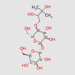 CC(C)(O)C(O)CO[C@H]1[C@H](O)[C@@H](O)[C@@H](O[C@H]2O[C@H](CO)[C@@H](O)[C@H](O)[C@H]2O)O[C@@H]1CO